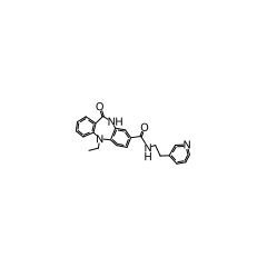 CCN1c2ccc(C(=O)NCCc3cccnc3)cc2NC(=O)c2ccccc21